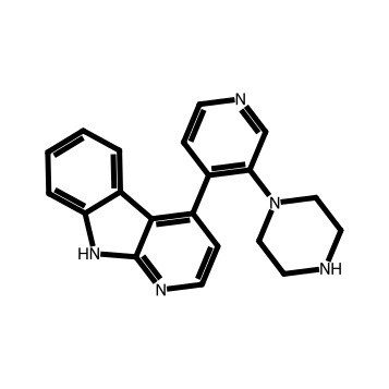 c1ccc2c(c1)[nH]c1nccc(-c3ccncc3N3CCNCC3)c12